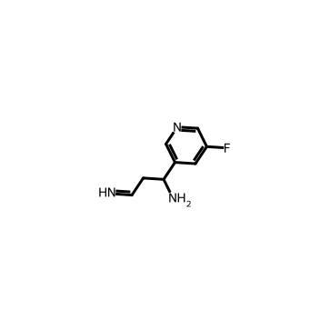 N=CCC(N)c1cncc(F)c1